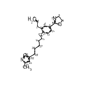 C=CCc1cc(C2=NCCO2)ccc1OCCCCCc1cc(C)no1